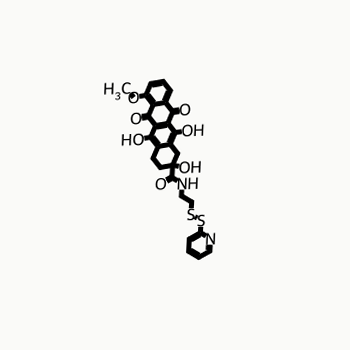 COc1cccc2c1C(=O)c1c(O)c3c(c(O)c1C2=O)CC(O)(C(=O)NCCSSc1ccccn1)CC3